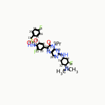 CC(C)n1c(=O)c(-c2ccc(NS(=O)(=O)Cc3ccc(F)cc3)c(F)c2)nc2cnc(N[C@@H]3CC[C@@H](N(C)C)[C@H](F)C3)nc21